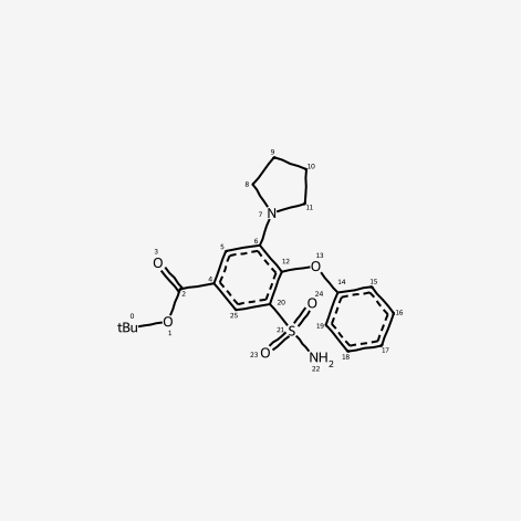 CC(C)(C)OC(=O)c1cc(N2CCCC2)c(Oc2ccccc2)c(S(N)(=O)=O)c1